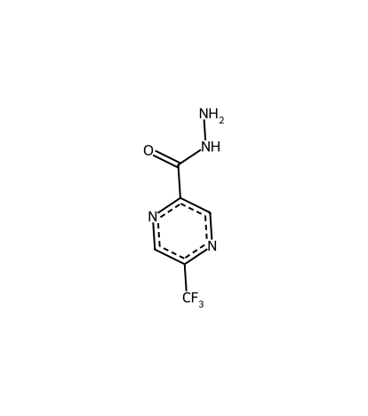 NNC(=O)c1cnc(C(F)(F)F)cn1